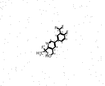 CC(F)(F)c1ncc(-c2ccc(F)c(C(F)F)c2)cc1CO